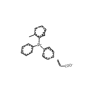 C=CC(=O)[O-].Cc1cccc[c]1[Sn+]([c]1ccccc1)[c]1ccccc1